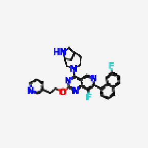 Fc1ccc2cccc(-c3ncc4c(N5CCC6CNC(C6)C5)nc(OCCc5cccnc5)nc4c3F)c2c1